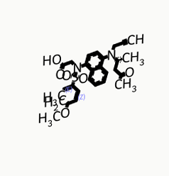 C#CCN(c1ccc(N(CC(=O)O)S(=O)(=O)C(/C=C\C(=C)OC)=C/C)c2ccccc12)[C@@H](C)CC(C)=O